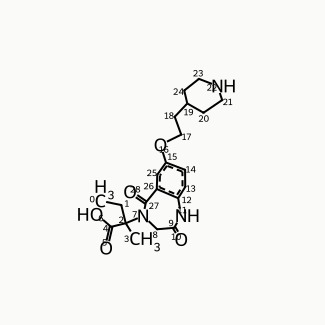 CCC(C)(C(=O)O)N1CC(=O)Nc2ccc(OCCC3CCNCC3)cc2C1=O